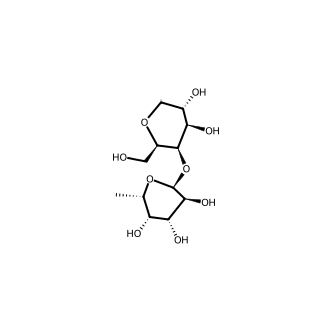 C[C@@H]1O[C@@H](O[C@@H]2[C@H](O)[C@@H](O)[CH]O[C@@H]2CO)[C@@H](O)[C@H](O)[C@@H]1O